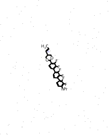 C/C=C/C1COC(c2ccc(-c3ccc(-c4ccc(CCC)c(F)c4F)c(F)c3F)c(F)c2F)OC1